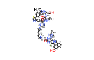 CCc1cccc2cc(O)cc(-c3ncc4c(N5CC6CCC(C5)N6)nc(OCCN5CCC(CC6CN(c7cnc(C(=O)NC(C(=O)N8C[C@H](O)C[C@H]8C(=O)NC(C)c8ccc(-c9scnc9C)cc8)C(C)(C)C)cn7)C6)CC5)nc4c3F)c12